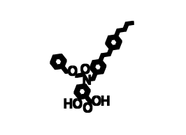 CCCCc1ccc(CCc2ccc(CN(C(=O)COCc3ccccc3)c3ccc(O)c(C(=O)O)c3)cc2)cc1